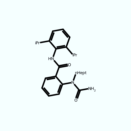 CCCCCCCN(C(N)=O)c1ccccc1C(=O)Nc1c(C(C)C)cccc1C(C)C